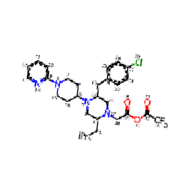 CC(C)C[C@H]1CN(C2CCN(c3ccccn3)CC2)[C@@H](Cc2ccc(Cl)cc2)CN1CC(=O)OC(=O)C(F)(F)F